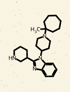 CC1(N2CCC(n3c(C4CCCNC4)nc4ccccc43)CC2)CCCCCC1